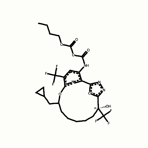 CCCCOC(=O)OC(=O)Nc1cc(C(F)(F)F)c2nc1-c1nnc(o1)[C@@](O)(C(F)(F)F)CCCCCC(CC1CC1)O2